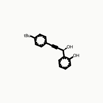 CC(C)(C)c1ccc(C#C[C@@H](O)c2ccccc2O)cc1